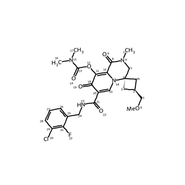 COC[C@H]1C[C@]2(CN(C)C(=O)c3c(OC(=O)N(C)C)c(=O)c(C(=O)NCc4cccc(Cl)c4F)cn32)C1